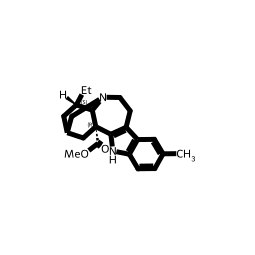 CC[C@H]1CC2CN3CCc4c([nH]c5ccc(C)cc45)[C@@](C(=O)OC)(C2)C13